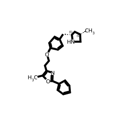 Cc1oc(-c2ccccc2)nc1CCOc1ccc(C[C@@H]2C[C@H](C)CN2)cc1